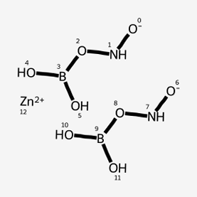 [O-]NOB(O)O.[O-]NOB(O)O.[Zn+2]